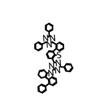 C1=Cc2c(c3c(-c4ccccc4)cccc3n2-c2nc(-c3ccccc3)nc(-c3cccc4c3sc3cccc(-c5nc(-c6ccccc6)nc(-c6ccccc6)n5)c34)n2)CC1